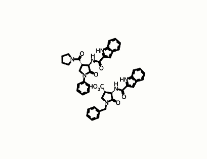 O=C(N[C@@H]1C(=O)N(Cc2ccccc2)C[C@@H]1C(=O)O)c1cc2ccccc2[nH]1.O=C(N[C@H]1C(=O)N(c2ccccc2)C[C@@H]1C(=O)N1CCCC1)c1cc2ccccc2[nH]1